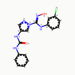 O=C(Nc1ccccc1)Nc1cnn(C(=NO)Nc2cccc(Cl)c2)c1